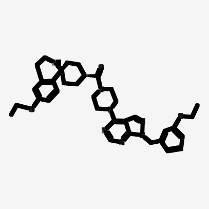 CCOc1cccc(Cn2ncc3c(N4CCN(C(=O)[C@H]5CC[C@]6(CC5)NCCc5cc(OCC)ccc56)CC4)ncnc32)c1